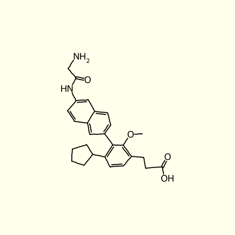 COc1c(CCC(=O)O)ccc(C2CCCC2)c1-c1ccc2cc(NC(=O)CN)ccc2c1